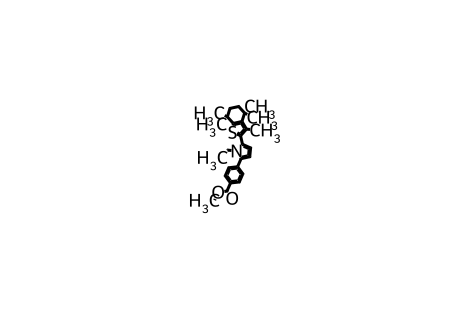 CCn1c(-c2ccc(C(=O)OC)cc2)ccc1-c1sc2c(c1C)C(C)(C)CCC2(C)C